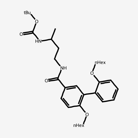 CCCCCCOc1ccccc1-c1cc(C(=O)NCCC(C)NC(=O)OC(C)(C)C)ccc1OCCCCCC